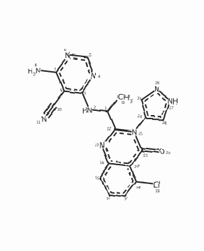 CC(Nc1ncnc(N)c1C#N)c1nc2cccc(Cl)c2c(=O)n1-c1cn[nH]c1